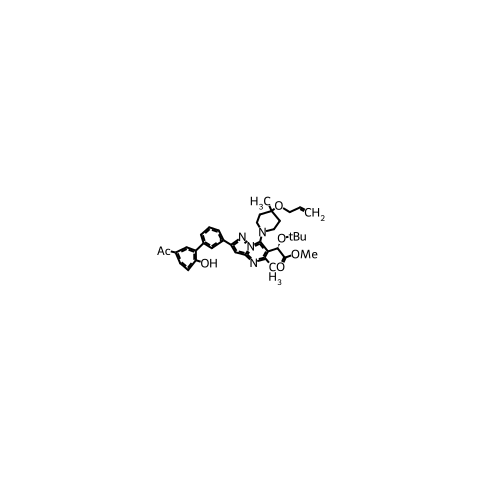 C=CCOC1(C)CCN(c2c([C@H](OC(C)(C)C)C(=O)OC)c(C)nc3cc(-c4cccc(-c5cc(C(C)=O)ccc5O)c4)nn23)CC1